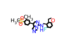 Cc1cc(-c2cnc(NCc3c(F)ccc4c3CCO4)n3cncc23)ccc1S(C)(=O)=O